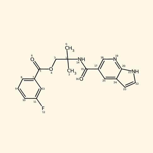 CC(C)(COC(=O)c1cccc(F)c1)NC(=O)c1cnc2[nH]ccc2c1